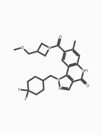 COCC1CN(C(=O)c2cc3c(cc2C)[nH]c(=O)c2cnn(CC4CCC(F)(F)CC4)c23)C1